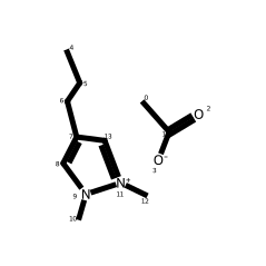 CC(=O)[O-].CCCc1cn(C)[n+](C)c1